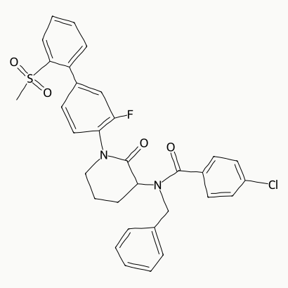 CS(=O)(=O)c1ccccc1-c1ccc(N2CCCC(N(Cc3ccccc3)C(=O)c3ccc(Cl)cc3)C2=O)c(F)c1